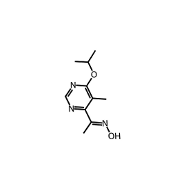 CC(=NO)c1ncnc(OC(C)C)c1C